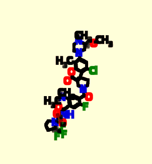 COC[C@H]1CN(c2cc(Cl)c3c4c(c(=O)oc3c2C)CN(C(=O)c2cc(N(C)C)c(C(=O)NS(=O)(=O)N3CCC[C@H]3C(F)(F)F)cc2F)CC4)CCN1C